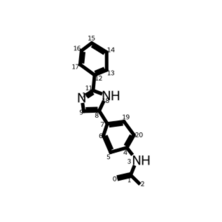 C=C(C)Nc1ccc(-c2cnc(-c3ccccc3)[nH]2)cc1